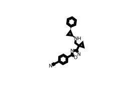 N#Cc1ccc(-c2nc(C3(CN[C@H]4C[C@@H]4c4ccccc4)CC3)no2)cc1